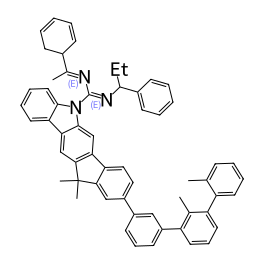 CCC(/N=C(\N=C(/C)C1C=CC=CC1)n1c2ccccc2c2cc3c(cc21)-c1ccc(-c2cccc(-c4cccc(-c5ccccc5C)c4C)c2)cc1C3(C)C)c1ccccc1